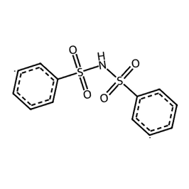 O=S(=O)(NS(=O)(=O)c1c[c]ccc1)c1c[c]ccc1